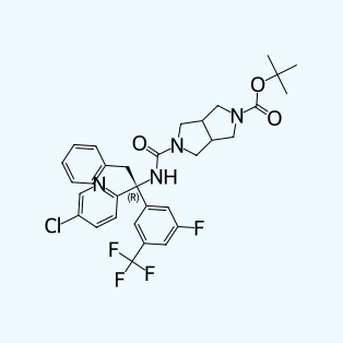 CC(C)(C)OC(=O)N1CC2CN(C(=O)N[C@](Cc3ccccc3)(c3cc(F)cc(C(F)(F)F)c3)c3ccc(Cl)cn3)CC2C1